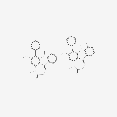 COc1cc2c(c(OC)c1-c1ccccc1)C(c1cccc(Br)c1)=NCC(=O)N2C.COc1cc2c(c(OC)c1-c1ccccc1)C(c1ccccc1)=NCC(=O)N2C